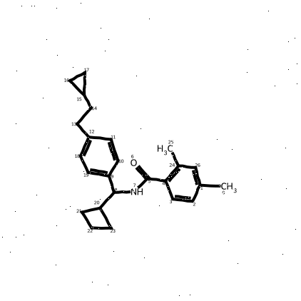 Cc1ccc(C(=O)NC(c2ccc(CCC3CC3)cc2)C2CCC2)c(C)c1